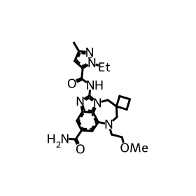 CCn1nc(C)cc1C(=O)Nc1nc2cc(C(N)=O)cc3c2n1CC1(CCC1)CN3CCOC